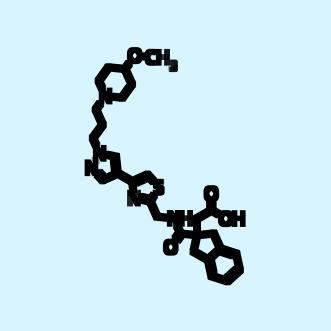 COC1CCN(CCCn2cc(-c3csc(CNC(=O)C4(CC(=O)O)Cc5ccccc5C4)n3)cn2)CC1